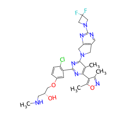 CNC[C@@H](O)COc1ccc(Cl)c(-c2nc(-c3c(C)noc3C)c(C)c(N3Cc4cnc(N5CC(F)(F)C5)nc4C3)n2)c1